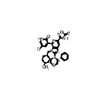 CC1CCC(Cn2c(N3CCOC[C@H]3c3ccccc3)nc3cc(-c4noc(=O)[nH]4)nc(-c4cc(Cl)c[nH]c4=O)c32)CC1